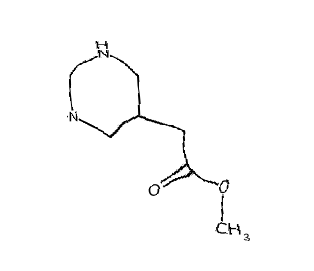 COC(=O)CC1C[N]CNC1